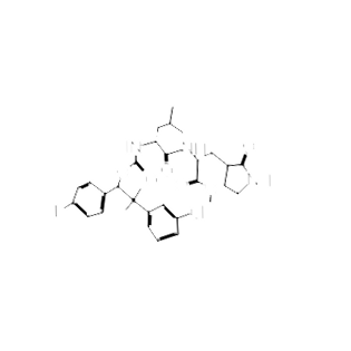 COC(=O)[C@H](CC1CCNC1=O)NC(=O)[C@H](CC(C)C)NC(=O)OC(c1ccc(F)cc1)C(C)(C)c1cccc(Cl)c1